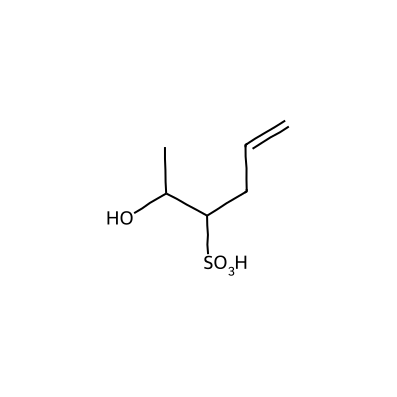 C=CCC(C(C)O)S(=O)(=O)O